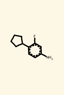 Nc1ccc(C2CCCC2)c(F)c1